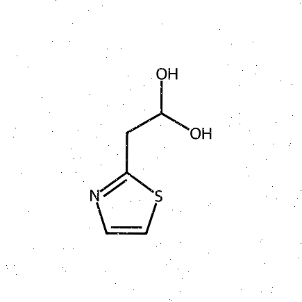 OC(O)Cc1nccs1